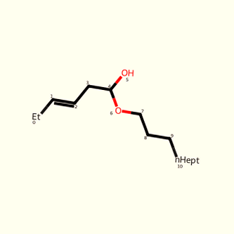 CCC=CCC(O)OCCCCCCCCCC